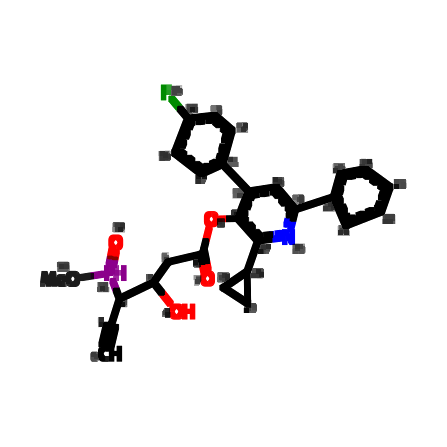 C#CC(C(O)CC(=O)Oc1c(-c2ccc(F)cc2)cc(-c2ccccc2)nc1C1CC1)[PH](=O)OC